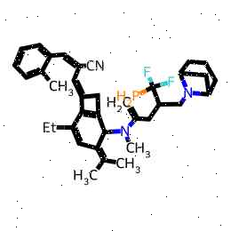 C=C(CC(CN1C2CCCC1C2)C(F)(F)P)N(C)C1C(=C(C)C)C=C(CC)C2=C1C/C2=C\C(C#N)=C/c1ccccc1C